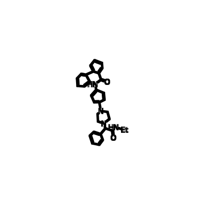 CCNC(=O)C(c1ccccc1)N1CCN(c2ccc(NC(=O)c3ccccc3-c3ccccc3)cc2)CC1